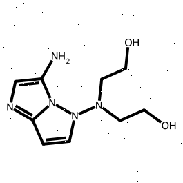 Nc1cnc2ccn(N(CCO)CCO)n12